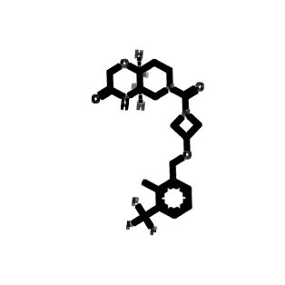 Cc1c(COC2CN(C(=O)N3CC[C@@H]4OCC(=O)N[C@@H]4C3)C2)cccc1C(F)(F)F